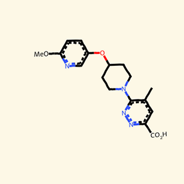 COc1ccc(OC2CCN(c3nnc(C(=O)O)cc3C)CC2)cn1